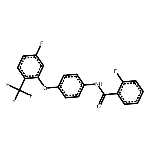 O=C(Nc1ccc(Oc2cc(F)ccc2C(F)(F)F)cc1)c1ccccc1F